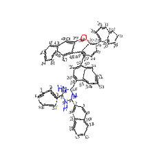 c1ccc(C2NC(c3ccc4ccccc4c3)=NC(c3ccc(-c4ccc(-c5cccc6ccccc56)c5oc6cc7ccccc7cc6c45)c4ccccc34)N2)cc1